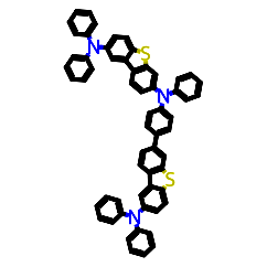 c1ccc(N(c2ccc(-c3ccc4c(c3)sc3ccc(N(c5ccccc5)c5ccccc5)cc34)cc2)c2ccc3c(c2)sc2ccc(N(c4ccccc4)c4ccccc4)cc23)cc1